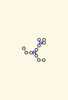 c1ccc(-c2cccc(-c3ccc(N(c4ccc(-c5ccc(N(c6ccccc6)c6cccc7ccccc67)cc5)cc4)c4ccc(-c5cccc(-c6ccccc6)c5)cc4)cc3)c2)cc1